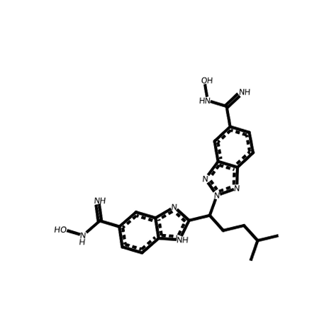 CC(C)CCC(c1nc2cc(C(=N)NO)ccc2[nH]1)n1nc2ccc(C(=N)NO)cc2n1